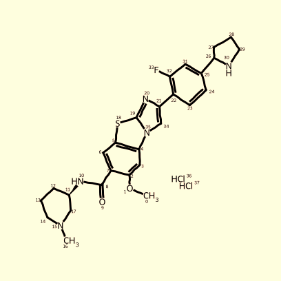 COc1cc2c(cc1C(=O)N[C@@H]1CCCN(C)C1)sc1nc(-c3ccc(C4CCCN4)cc3F)cn12.Cl.Cl